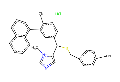 Cl.Cn1cncc1C(SCc1ccc(C#N)cc1)c1ccc(C#N)c(-c2cccc3ccccc23)c1